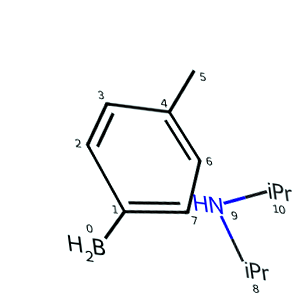 Bc1ccc(C)cc1.CC(C)NC(C)C